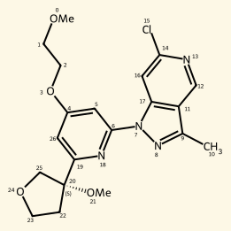 COCCOc1cc(-n2nc(C)c3cnc(Cl)cc32)nc([C@@]2(OC)CCOC2)c1